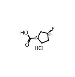 Cl.O=C(O)N1CC[C@H](F)C1